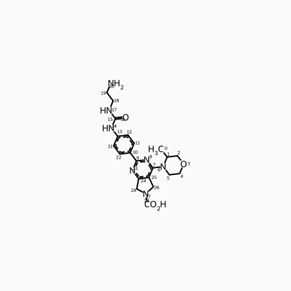 CC1COCCN1c1nc(-c2ccc(NC(=O)NCCN)cc2)nc2c1CN(C(=O)O)C2